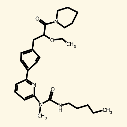 CCCCCNC(=O)N(C)c1cccc(-c2ccc(CC(OCC)C(=O)N3CCCCC3)cc2)n1